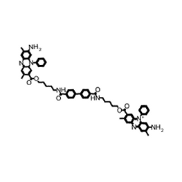 CC1=CC2=Nc3cc(C)c(N)cc3N(c3ccccc3)C2C=C1C(=O)OCCCCCNC(=O)c1ccc(-c2ccc(C(=O)NCCCCCOC(=O)c3cc4c(cc3C)nc3cc(C)c(N)cc3[n+]4-c3ccccc3)cc2)cc1